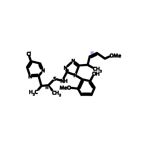 COC/C=C\C(C)c1nnc(NS[C@@H](C)C(C)c2ncc(Cl)cn2)n1-c1c(O)cccc1OC